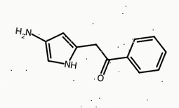 Nc1c[nH]c(CC(=O)c2ccccc2)c1